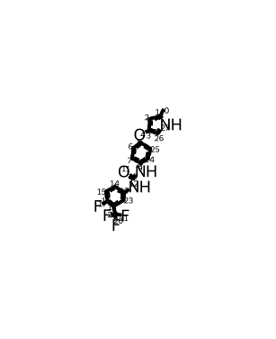 Cc1cc(Oc2ccc(NC(=O)Nc3ccc(F)c(C(F)(F)F)c3)cc2)c[nH]1